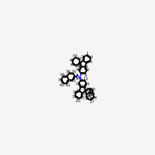 c1ccc2c(c1)-c1ccc(N(c3ccc4c(c3)-c3ccccc3C43C4CCC5CC(C4)CC3C5)c3ccc4ccccc4c3)cc1C21CCCCC1